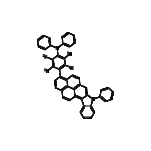 [2H]c1c([2H])c(N(c2ccccc2)c2ccccc2)c([2H])c([2H])c1-c1ccc2ccc3c4c(ccc1c24)cc1c3c2ccccc2n1-c1ccccc1